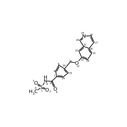 CS(=O)(=O)NC(=O)c1ccc(COc2ccc3ccncc3c2)cc1